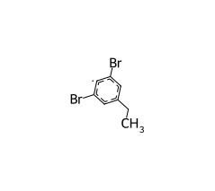 CCc1cc(Br)[c]c(Br)c1